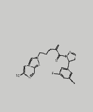 C=C(CCCn1cc2cc(C#N)ncc2n1)C(=O)N1N=CCC1c1cc(F)cc(F)c1